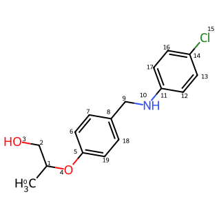 CC(CO)Oc1ccc(CNc2ccc(Cl)cc2)cc1